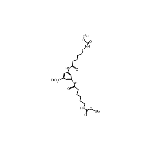 CCOC(=O)c1cc(NC(=O)CCCCCNC(=O)OC(C)(C)C)cc(NC(=O)CCCCCNC(=O)OC(C)(C)C)c1